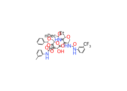 CCCCCCCCCCC(=O)N[C@H]1C(CC)OCC(NC(=O)Nc2cccc(C(F)(F)F)c2)[C@H]1O[C@H]1OC2COC(c3ccccc3)O[C@@H]2[C@H](OC(=O)Nc2cccc(C)c2)C1O